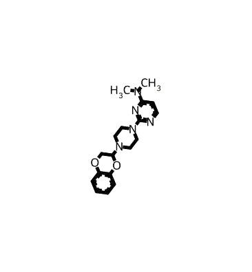 CN(C)c1ccnc(N2CCN(C3COc4ccccc4O3)CC2)n1